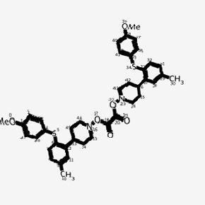 COc1ccc(Sc2ccc(C)cc2C2CCN(OC(=O)C(=O)ON3CCC(c4cc(C)ccc4Sc4ccc(OC)cc4)CC3)CC2)cc1